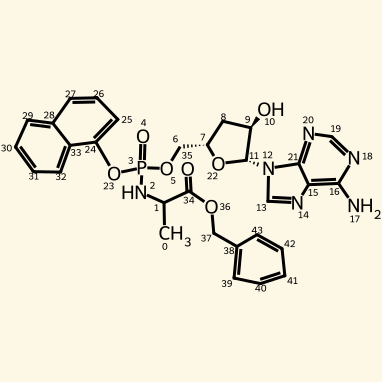 CC(NP(=O)(OC[C@@H]1C[C@@H](O)[C@H](n2cnc3c(N)ncnc32)O1)Oc1cccc2ccccc12)C(=O)OCc1ccccc1